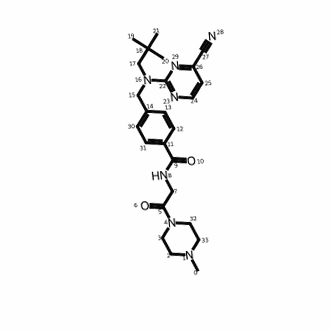 CN1CCN(C(=O)CNC(=O)c2ccc(CN(CC(C)(C)C)c3nccc(C#N)n3)cc2)CC1